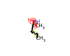 Cc1ccc(-c2ccc(CCCC(C(=O)NO)S(C)(=O)=O)s2)s1